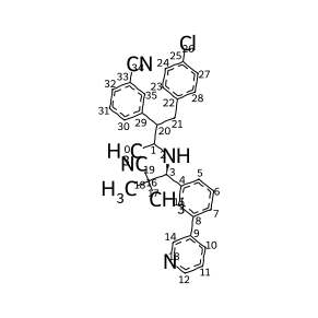 CC(N[C@@H](c1cccc(-c2cccnc2)c1)C(C)(C)C#N)C(Cc1ccc(Cl)cc1)c1cccc(C#N)c1